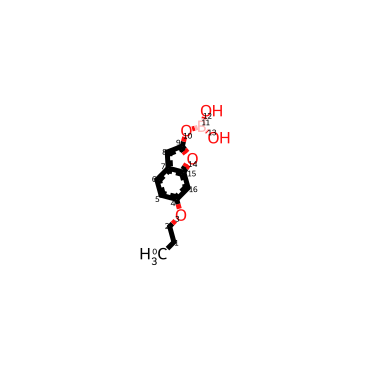 CCCOc1ccc2cc(OB(O)O)oc2c1